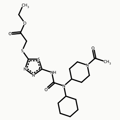 CCOC(=O)CSc1nnc(NC(=O)N(C2CCCCC2)C2CCN(C(C)=O)CC2)s1